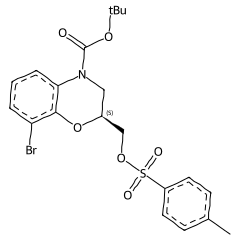 Cc1ccc(S(=O)(=O)OC[C@@H]2CN(C(=O)OC(C)(C)C)c3cccc(Br)c3O2)cc1